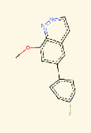 COc1cc(-c2ccc(F)cc2)cc2ccnnc12